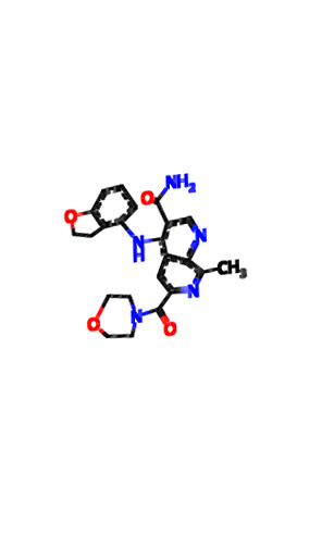 Cc1nc(C(=O)N2CCOCC2)cc2c(Nc3cccc4c3CCO4)c(C(N)=O)cnc12